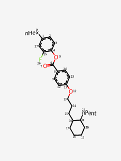 CCCCCCc1ccc(OC(=O)c2ccc(OCCCC3CCCCC3CCCCC)cc2)c(F)c1